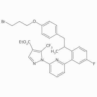 CCOC(=O)c1cnn(-c2cccc(-c3cc(F)ccc3C(C)Cc3ccc(OCCCBr)cc3)n2)c1C(F)(F)F